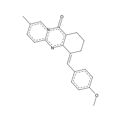 COc1ccc(C=C2CCCc3c2nc2ccc(C)cn2c3=O)cc1